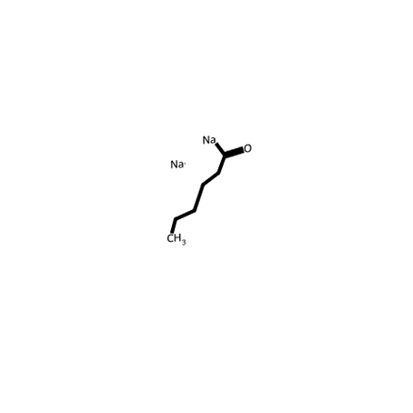 CCCCC[C](=O)[Na].[Na]